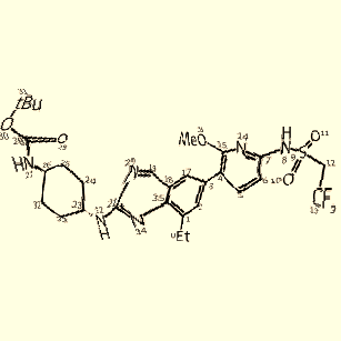 CCc1cc(-c2ccc(NS(=O)(=O)CC(F)(F)F)nc2OC)cc2cnc(N[C@H]3CC[C@H](NC(=O)OC(C)(C)C)CC3)nc12